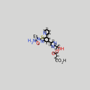 CCN(C(N)=O)c1nc2cc(-c3cnc(C(C)(O)COC(=O)CCC(=O)O)nc3)cc(-c3ccccn3)c2s1